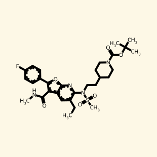 CCc1cc2c(C(=O)NC)c(-c3ccc(F)cc3)oc2nc1N(CCC1CCN(C(=O)OC(C)(C)C)CC1)S(C)(=O)=O